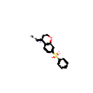 N#C/C=C1\CCOc2cc(S(=O)(=O)c3ccccc3)ccc21